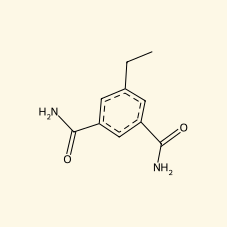 CCc1cc(C(N)=O)cc(C(N)=O)c1